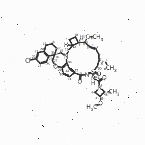 CC[C@H]1C/C=C/[C@H](OC)[C@@H]2CC[C@H]2CN2C[C@@]3(CCCc4cc(Cl)ccc43)COc3ccc(cc32)C(=O)N=S(=O)(NC(=O)N2C[C@H](OC)[C@H]2C)C1